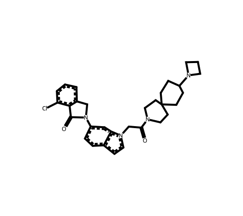 O=C(Cn1ccc2ccc(N3Cc4cccc(Cl)c4C3=O)cc21)N1CCC2(CCC(N3CCC3)CC2)CC1